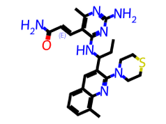 CCC(Nc1nc(N)nc(C)c1/C=C/C(N)=O)c1cc2cccc(C)c2nc1N1CCSCC1